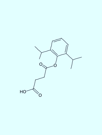 CC(C)c1cccc(C(C)C)c1OC(=O)CCC(=O)O